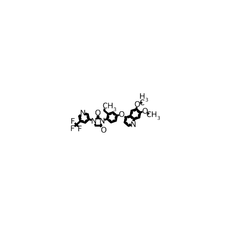 CCc1cc(Oc2ccnc3cc(OC)c(OC)cc23)ccc1N1C(=O)CN(c2cncc(C(F)(F)F)c2)C1=O